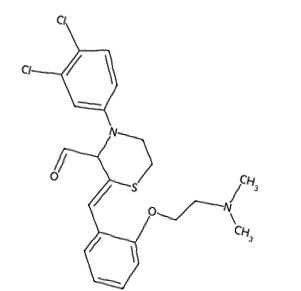 CN(C)CCOc1ccccc1C=C1SCCN(c2ccc(Cl)c(Cl)c2)C1C=O